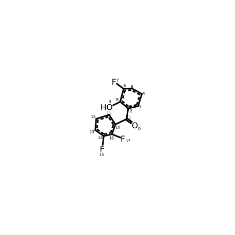 O=C(c1cccc(F)c1O)c1cccc(F)c1F